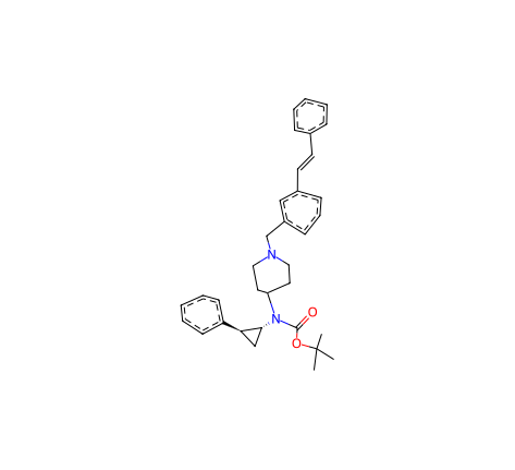 CC(C)(C)OC(=O)N(C1CCN(Cc2cccc(/C=C/c3ccccc3)c2)CC1)[C@@H]1C[C@H]1c1ccccc1